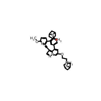 COc1ccc(CC2(C)CC3CC(C2)N3c2ccc(-c3cc(OCCN4CC5CC(C4)N5C)cn4ncc(C#N)c34)cn2)cn1